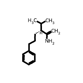 C=C(N)[C@H](CCCc1ccccc1)C(C)C